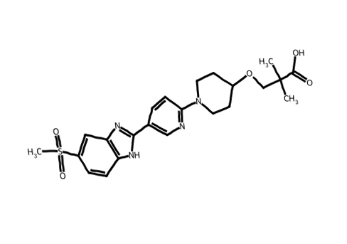 CC(C)(COC1CCN(c2ccc(-c3nc4cc(S(C)(=O)=O)ccc4[nH]3)cn2)CC1)C(=O)O